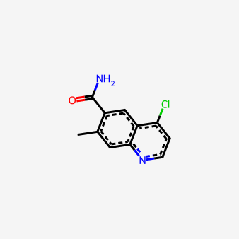 Cc1cc2nccc(Cl)c2cc1C(N)=O